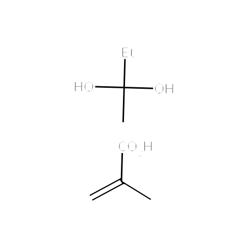 C=C(C)C(=O)O.CCC(C)(O)O